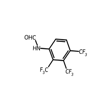 O=CNc1ccc(C(F)(F)F)c(C(F)(F)F)c1C(F)(F)F